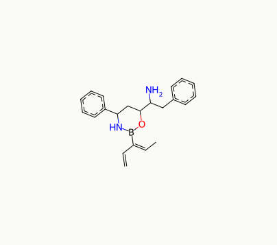 C=C/C(=C/C)B1NC(c2ccccc2)CC(C(N)Cc2ccccc2)O1